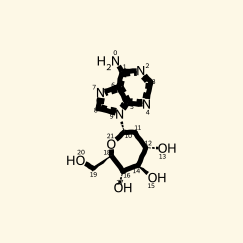 Nc1ncnc2c1ncn2[C@@H]1C[C@H](O)[C@@H](O)[C@H](O)[C@@H](CO)O1